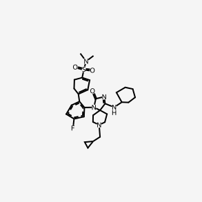 CN(C)S(=O)(=O)C1=CC=C(c2ccc(F)cc2N2C(=O)N=C(NC3CCCCC3)C23CCN(CC2CC2)CC3)CC1